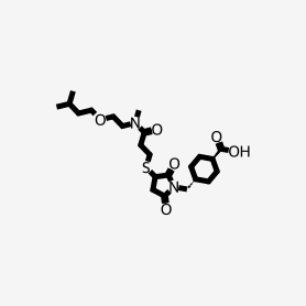 CC(C)CCOCCN(C)C(=O)CCSC1CC(=O)N(C[C@H]2CC[C@H](C(=O)O)CC2)C1=O